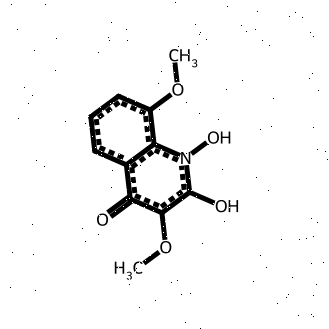 COc1c(O)n(O)c2c(OC)cccc2c1=O